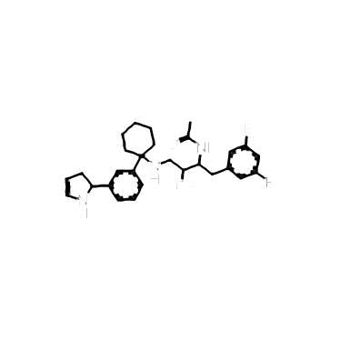 CC(=O)NC(Cc1cc(F)cc(F)c1)C(O)CNC1(c2cccc(C3CC=CN3)c2)CCCCC1